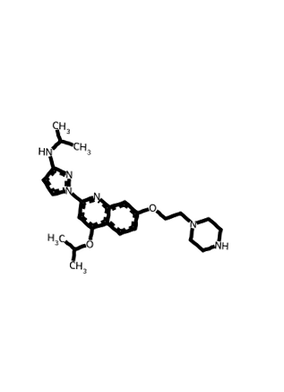 CC(C)Nc1ccn(-c2cc(OC(C)C)c3ccc(OCCN4CCNCC4)cc3n2)n1